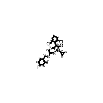 O=c1c(-c2c(Cl)cccc2Cl)c2ncc(OCc3ccc(F)cc3F)cn2n1C1CC1